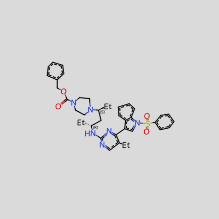 CCc1cnc(N[C@H](CC)C[C@H](CC)N2CCN(C(=O)OCc3ccccc3)CC2)nc1-c1cn(S(=O)(=O)c2ccccc2)c2ccccc12